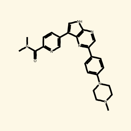 CN1CCN(c2ccc(-c3cnc4[nH]cc(-c5ccc(C(=O)N(C)C)nc5)c4n3)cc2)CC1